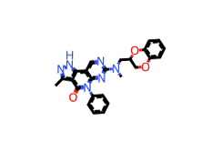 Cc1n[nH]c2c1c(=O)n(-c1ccccc1)c1nc(N(C)CC3COc4ccccc4O3)ncc21